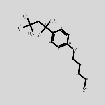 CC(C)(C)CC(C)(C)c1ccc(OCCCCO)cc1